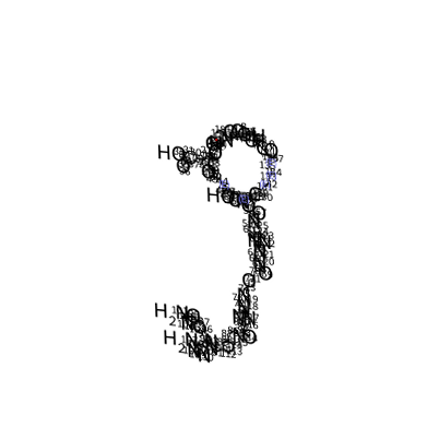 CO[C@H]1C[C@@H]2CC[C@@H](C)[C@@](O)(O2)C(=O)C(=O)N2CCCC[C@H]2C(=O)O[C@H]([C@H](C)C[C@@H]2CC[C@@H](O)[C@H](OC)C2)C[C@@H](OC)[C@H](C)/C=C(\C)[C@@H](O)[C@@H](OC)/C(=N/OCC(=O)N2CCc3nc(N4CCN(C(=O)CCOCCN5CCN(c6ncc(C(=O)N7CCc8cc(Cn9nc(-c%10ccc%11oc(N)nc%11c%10)c%10c(N)ncnc%109)ccc8C7)cn6)CC5)CC4)ncc3C2)[C@H](C)C[C@H](C)/C=C/C=C/C=C/1C